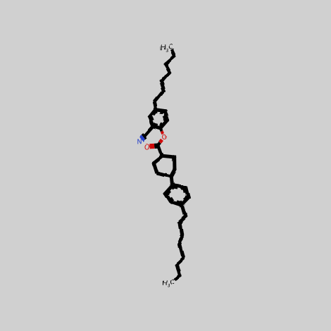 CCCCCCCCc1ccc(C2CCC(C(=O)Oc3ccc(CCCCCCC)cc3C#N)CC2)cc1